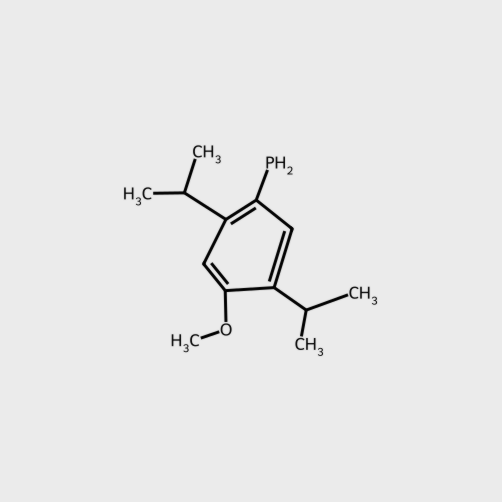 COc1cc(C(C)C)c(P)cc1C(C)C